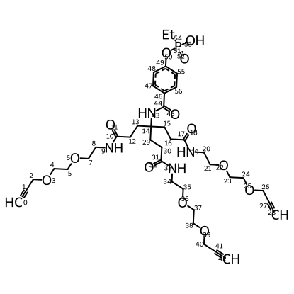 C#CCOCCOCCNC(=O)CCC(CCC(=O)NCCOCCOCC#C)(CCC(=O)NCCOCCOCC#C)NC(=O)c1ccc(OP(=O)(O)CC)cc1